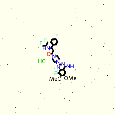 COc1cc2c(N)nc(N3CCN(C(=O)CC(NC(CF)CF)c4ccc(F)cc4)CC3)nc2c(F)c1OC.Cl